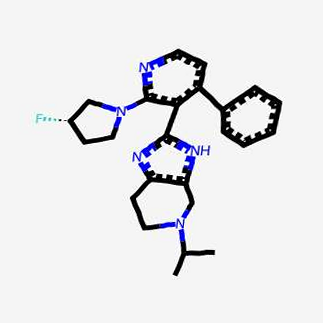 CC(C)N1CCc2nc(-c3c(-c4ccccc4)ccnc3N3CC[C@H](F)C3)[nH]c2C1